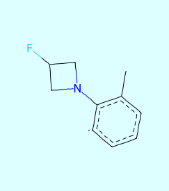 Cc1ccc[c]c1N1CC(F)C1